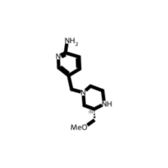 COC[C@@H]1CN(Cc2ccc(N)nc2)CCN1